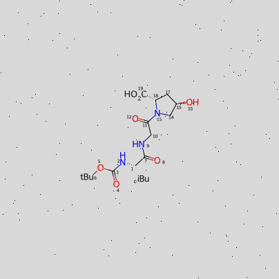 CC[C@H](C)[C@H](NC(=O)OC(C)(C)C)C(=O)NCC(=O)N1C[C@H](O)C[C@H]1C(=O)O